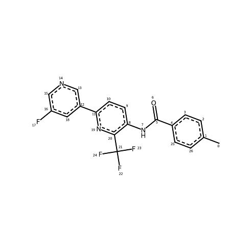 Cc1ccc(C(=O)Nc2ccc(-c3cncc(F)c3)nc2C(F)(F)F)cc1